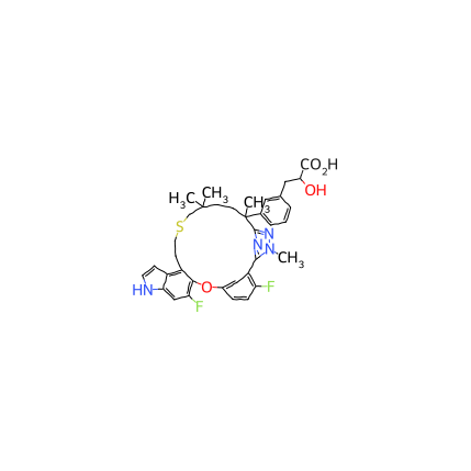 Cn1nc2nc1-c1cc(ccc1F)Oc1c(F)cc3[nH]ccc3c1CCSCC(C)(C)CCC2(C)c1cccc(CC(O)C(=O)O)c1